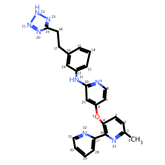 Cc1ccc(Oc2ccnc(Nc3cccc(CCc4nn[nH]n4)c3)c2)c(-c2ccccn2)n1